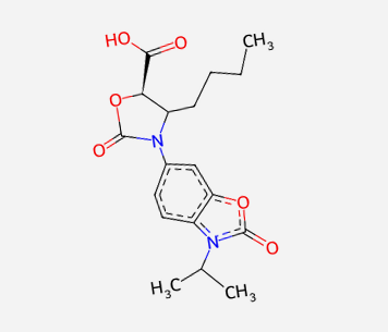 CCCCC1[C@H](C(=O)O)OC(=O)N1c1ccc2c(c1)oc(=O)n2C(C)C